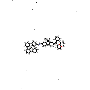 CCC1(CC)c2cc(/C=C/c3cccc4c3-c3ccccc3C4(c3ccccc3)c3ccccc3)ccc2-c2ccc(N(c3ccccc3)c3ccccc3C3=CCCC=C3)cc21